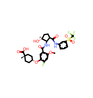 COc1cc(F)c(O[C@H]2CC[C@@](C)(C(=O)O)CC2)cc1C(=O)NC1C(C(=O)Nc2cccc(S(=O)(=O)C(F)(F)F)c2)CC[C@H]1O